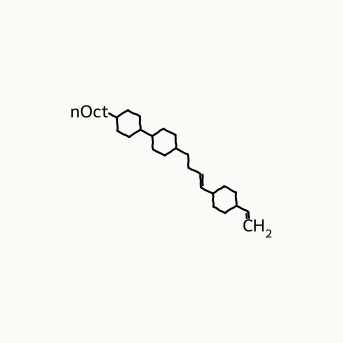 C=CC1CCC(/C=C/CCC2CCC(C3CCC(CCCCCCCC)CC3)CC2)CC1